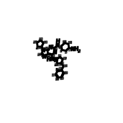 N[C@H]1CC[C@H](Nc2nc(NN3CC[C@@H](Cc4ccccc4)C3)c3ncn(C4CCCC4)c3n2)CC1